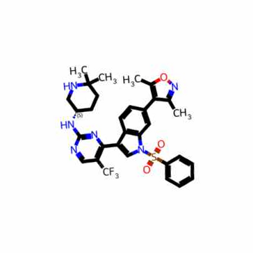 Cc1noc(C)c1-c1ccc2c(-c3nc(N[C@H]4CCC(C)(C)NC4)ncc3C(F)(F)F)cn(S(=O)(=O)c3ccccc3)c2c1